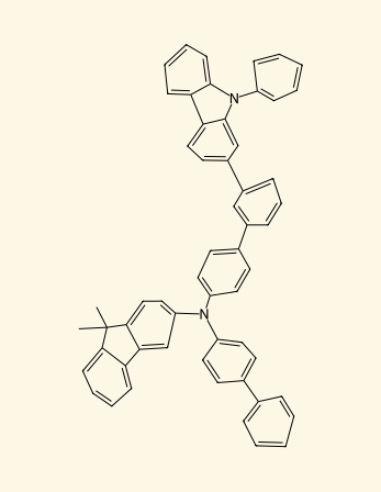 CC1(C)c2ccccc2-c2cc(N(c3ccc(-c4ccccc4)cc3)c3ccc(-c4cccc(-c5ccc6c7ccccc7n(-c7ccccc7)c6c5)c4)cc3)ccc21